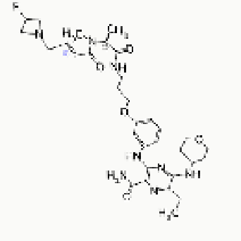 CCc1nc(C(N)=O)c(Nc2cccc(OCCCNC(=O)[C@H](C)N(C)C(=O)/C=C/CN3CC(F)C3)c2)nc1NC1CCOCC1